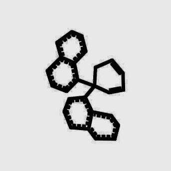 C1=CCC(c2cccc3ccccc23)(c2cccc3ccccc23)C=C1